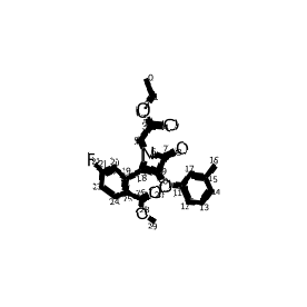 CCOC(=O)CN1C(=O)C(Oc2cccc(C)c2)=C1c1cc(F)ccc1C(=O)OC